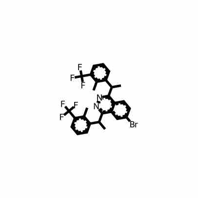 Cc1c(C(C)c2nnc(C(C)c3cccc(C(F)(F)F)c3C)c3cc(Br)ccc23)cccc1C(F)(F)F